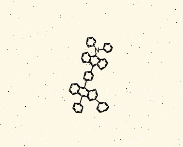 c1ccc(-c2ccc3c(-c4ccc(-c5c6ccccc6c(N(c6ccccc6)c6ccccc6)c6ccccc56)cc4)c4ccccc4c(-c4ccccc4)c3c2)cc1